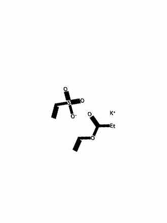 C=COC(=O)CC.C=CS(=O)(=O)[O-].[K+]